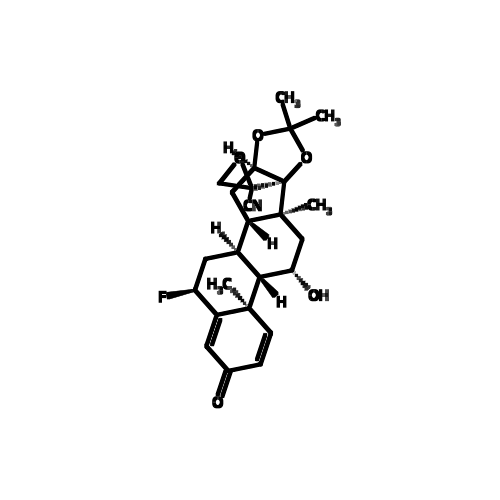 CC1(C)O[C@@H]2C[C@H]3[C@@H]4C[C@H](F)C5=CC(=O)C=C[C@]5(C)[C@H]4[C@@H](O)C[C@]3(C)[C@]2(C2(C#N)CO2)O1